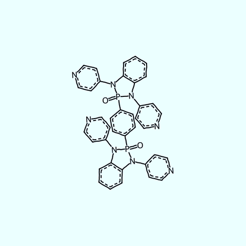 O=P1(c2ccc(P3(=O)N(c4ccncc4)c4ccccc4N3c3ccncc3)cc2)N(c2ccncc2)c2ccccc2N1c1ccncc1